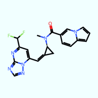 CN(C(=O)c1ccc2cccn2c1)[C@H]1C/C1=C/c1cc(C(F)F)nc2ncnn12